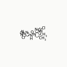 CC1CCN(C(=O)Nc2cnc(-n3nccn3)c(Cl)c2)c2cnc3cc(Cl)nn3c2[C@@H]1C